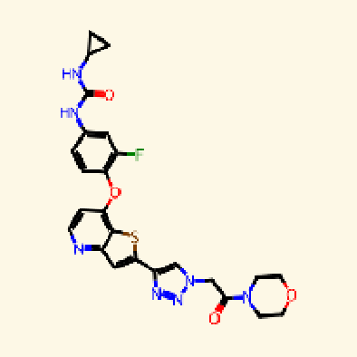 O=C(Nc1ccc(Oc2ccnc3cc(-c4cn(CC(=O)N5CCOCC5)nn4)sc23)c(F)c1)NC1CC1